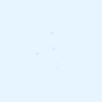 B=C(C)C(C)n1ccc(=O)[nH]c1=O